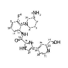 NC1CCCN(c2c(F)cccc2NC(=O)c2nc(-c3ccnc(CO)c3)c[nH]2)C1